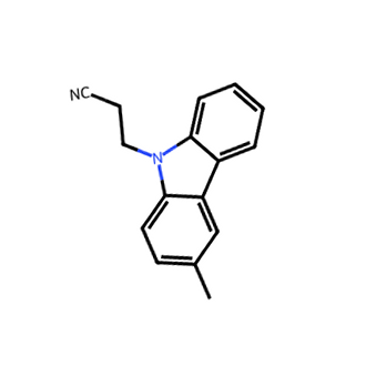 Cc1ccc2c(c1)c1ccccc1n2CCC#N